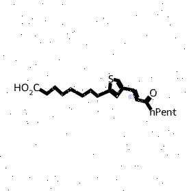 CCCCCC(=O)/C=C/c1csc(CCCCCCCC(=O)O)c1